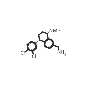 CN[C@H]1CC[C@@H](c2ccc(Cl)c(Cl)c2)c2ccc(CN)cc21